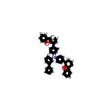 C1=Cc2c(oc3ccccc23)C(c2ccc(N(c3ccc(-c4cccc5c4oc4ccccc45)cc3)c3cccc(-c4ccccc4)c3)cc2)C1